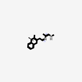 CN/C=C(C)\N=C/CC1=C(C)[C@H](C)c2ccccc2C1